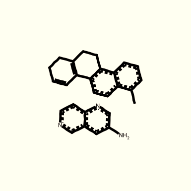 Cc1cccc2c3c(ccc12)C1=C(CCC=C1)CC3.Nc1cnc2ccncc2c1